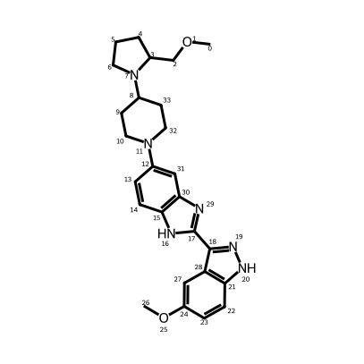 COCC1CCCN1C1CCN(c2ccc3[nH]c(-c4n[nH]c5ccc(OC)cc45)nc3c2)CC1